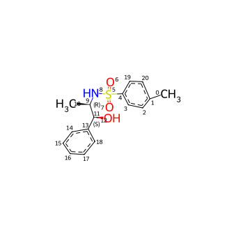 Cc1ccc(S(=O)(=O)N[C@H](C)[C@@H](O)c2ccccc2)cc1